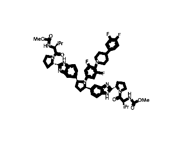 COC(=O)N[C@H](C(=O)N1CCC[C@H]1c1nc2cc([C@H]3CC[C@H](c4ccc5[nH]c([C@@H]6CCCN6C(=O)[C@@H](NC(=O)OC)C(C)C)nc5c4)N3c3cc(F)c(N4CCC(c5ccc(F)c(F)c5)CC4)c(F)c3)ccc2[nH]1)C(C)C